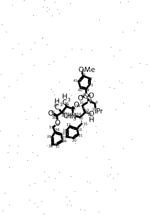 COc1ccc(S(=O)(=O)N(CC(C)C)C[C@@H](O)[C@H](Cc2ccccc2)NC(=O)C(C)C(C)(C)C(=O)OCc2ccccc2)cc1